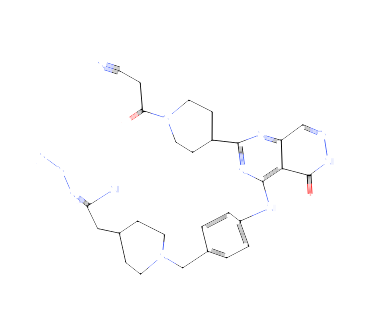 N#CCC(=O)N1CCC(c2nc(Nc3ccc(CN4CCC(C/C(N)=N/NN)CC4)cc3)c3c(=O)[nH]ncc3n2)CC1